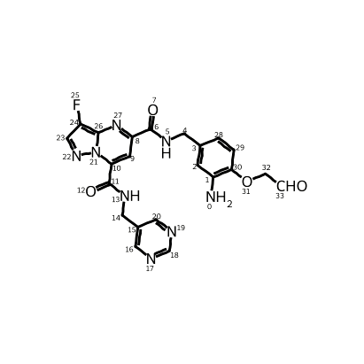 Nc1cc(CNC(=O)c2cc(C(=O)NCc3cncnc3)n3ncc(F)c3n2)ccc1OCC=O